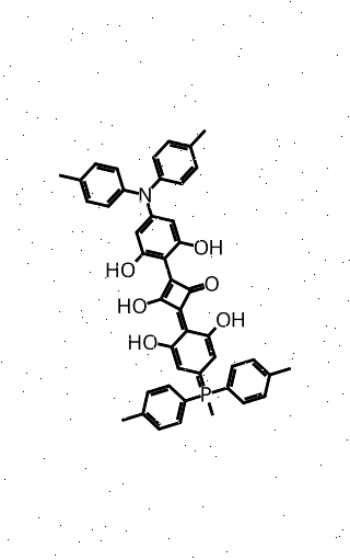 Cc1ccc(N(c2ccc(C)cc2)c2cc(O)c(C3=C(O)C(=C4C(O)=CC(=P(C)(c5ccc(C)cc5)c5ccc(C)cc5)C=C4O)C3=O)c(O)c2)cc1